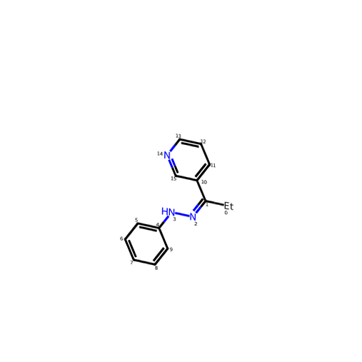 CCC(=NNc1ccccc1)c1cccnc1